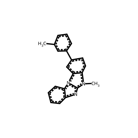 Cc1cccc(-c2ccc3c(c2)n2c4ccccc4nc2n3C)c1